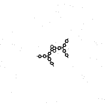 Cc1ccc(-c2ccc(N(c3ccc(-c4ccc(C)cc4)cc3)c3ccc(-c4cc5c6c(cc(-c7ccc(N(c8ccc(-c9ccc(C)cc9)cc8)c8ccc(-c9ccc(C)cc9)cc8)cc7)c7c6c4CCC7)CCC5)cc3)cc2)cc1